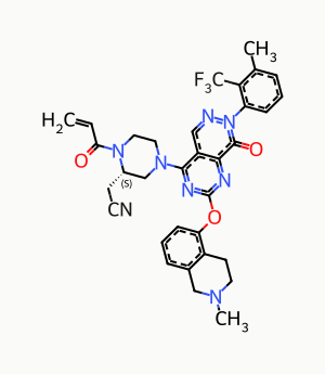 C=CC(=O)N1CCN(c2nc(Oc3cccc4c3CCN(C)C4)nc3c(=O)n(-c4cccc(C)c4C(F)(F)F)ncc23)C[C@@H]1CC#N